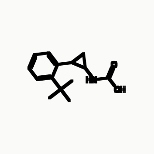 CC(C)(C)c1ccccc1C1CC1NC(=O)O